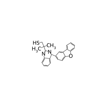 CC(C)(CS)c1nc(-c2ccc3oc4ccccc4c3c2)c2ccccc2n1